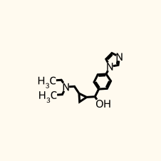 CCN(CC)CC1CC1C(O)c1ccc(-n2ccnc2)cc1